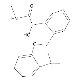 CNC(=O)C(O)c1ccccc1COc1ccccc1C(C)(C)C